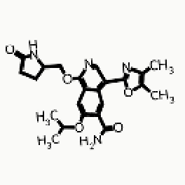 Cc1nc(-c2cnc(OCC3CCC(=O)N3)c3cc(OC(C)C)c(C(N)=O)cc23)oc1C